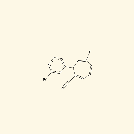 N#CC1=CC=CC(F)=CC1c1cccc(Br)c1